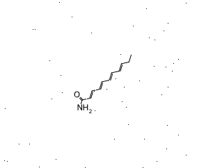 CCC=CC=CC=CC=CC(N)=O